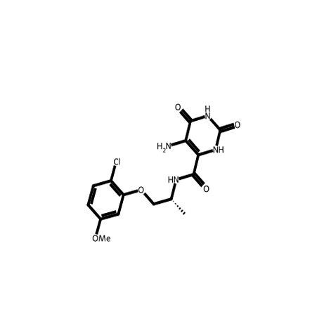 COc1ccc(Cl)c(OC[C@@H](C)NC(=O)c2[nH]c(=O)[nH]c(=O)c2N)c1